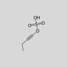 CCC#COS(=O)(=O)O